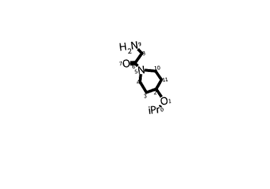 CC(C)OC1CCN(C(=O)CN)CC1